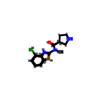 N#CN(C(=O)[C@H]1CCNC1)c1nc2c(Br)cccc2s1